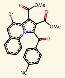 COC(=O)c1c(C(=O)OC)c2c(Br)cc3ccccc3n2c1C(=O)c1ccc(C#N)cc1